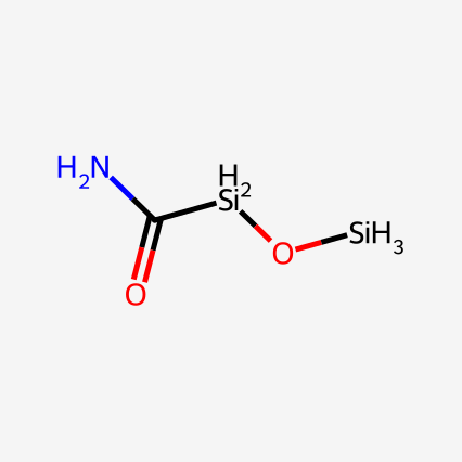 NC(=O)[SiH2]O[SiH3]